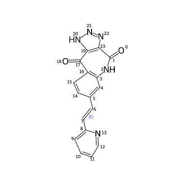 O=c1[nH]c2cc(/C=C/c3ccccn3)ccc2c(=O)c2[nH]nnc12